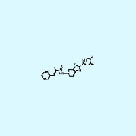 CC(=Cc1ccccc1)C(=O)Nc1ccc2nc(C(=N)CC(C)N(C)C)sc2c1